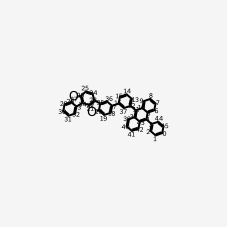 c1ccc(-c2c3ccccc3c(-c3cccc(-c4ccc5oc6c(ccc7oc8ccccc8c76)c5c4)c3)c3ccccc23)cc1